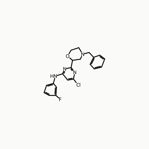 Fc1cccc(Nc2cc(Cl)nc(C3CN(Cc4ccccc4)CCO3)n2)c1